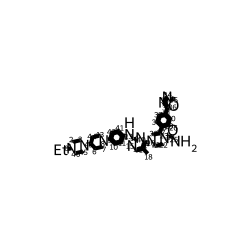 CCN1CCN(C2CCN(c3ccc(Nc4ncc(C)c(N5CCN(C(N)=O)C(c6ccc(-c7nnco7)cc6)C5)n4)cc3)CC2)CC1